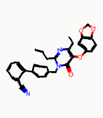 CCCc1nc(CC)c(Oc2ccc3c(c2)OCO3)c(=O)n1Cc1ccc(-c2ccccc2C#N)cc1